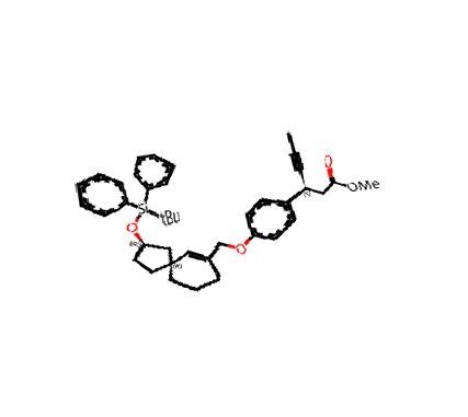 CC#C[C@@H](CC(=O)OC)c1ccc(OCC2=C[C@]3(CCC2)CC[C@@H](O[Si](c2ccccc2)(c2ccccc2)C(C)(C)C)C3)cc1